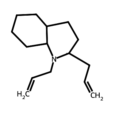 C=CC[C]1CCC2CCCCC2N1CC=C